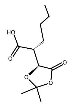 CCCC[C@@H](C(=O)O)[C@@H]1OC(C)(C)OC1=O